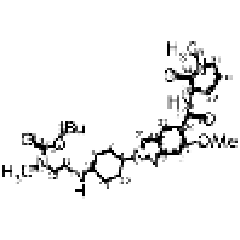 COc1cc2nn(C3CCC(NCCN(C)C(=O)OC(C)(C)C)CC3)cc2cc1C(=O)Nc1cccn(C)c1=O